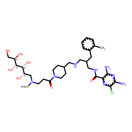 CCCCCCN(CCC(=O)N1CCC(CNCC(CNC(=O)c2nc(Cl)c(N)nc2N)Cc2ccccc2C)CC1)C[C@H](O)[C@@H](O)[C@H](O)[C@H](O)CO